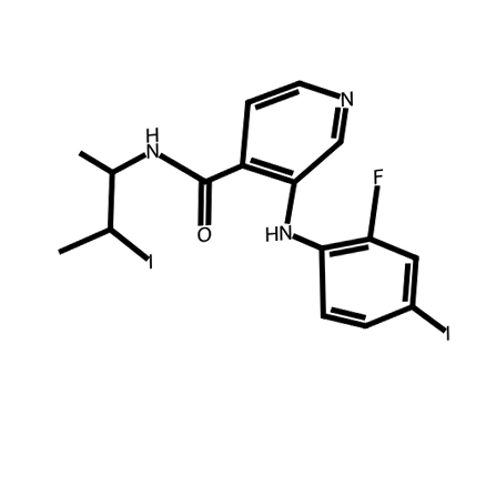 CC(I)C(C)NC(=O)c1ccncc1Nc1ccc(I)cc1F